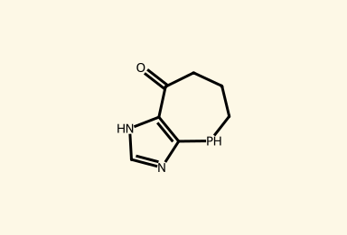 O=C1CCCPc2nc[nH]c21